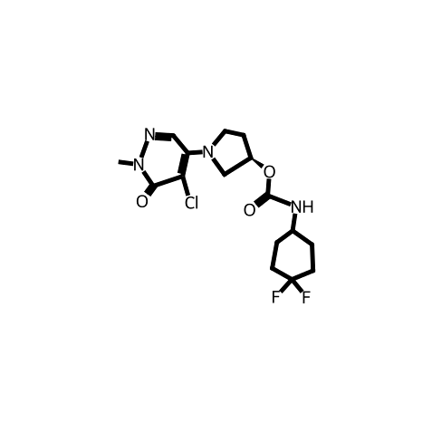 Cn1ncc(N2CC[C@@H](OC(=O)NC3CCC(F)(F)CC3)C2)c(Cl)c1=O